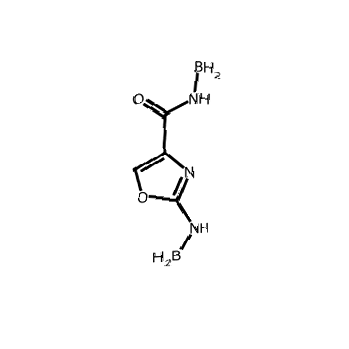 BNC(=O)c1coc(NB)n1